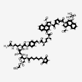 CC(C)[C@H](NC(=O)[C@H](CS(=O)(=O)OCC(C)(C)C)NC(=O)CCCCCN1C(=O)C=CC1=O)C(=O)N[C@@H](CCCNC(N)=O)C(=O)Nc1ccc(COC(=O)N(C)CCN(C)C(=O)Oc2cc3c(c4ccccc24)[C@H](CCl)CN3C(=O)c2ccc(C(=O)N3C[C@@H](CCl)c4c3cc(OP(=O)(O)O)c3ccccc43)s2)cc1